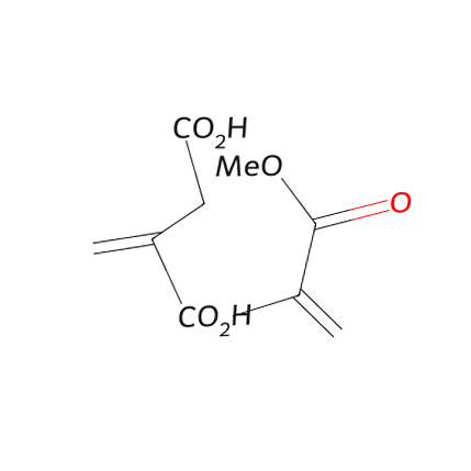 C=C(C)C(=O)OC.C=C(CC(=O)O)C(=O)O